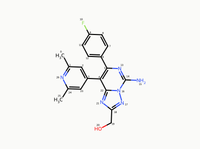 Cc1cc(-c2c(-c3ccc(F)cc3)nc(N)n3nc(CO)nc23)cc(C)n1